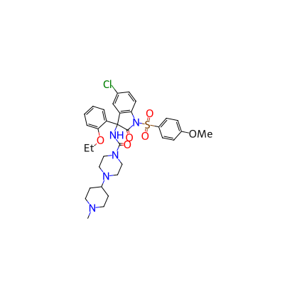 CCOc1ccccc1C1(NC(=O)N2CCN(C3CCN(C)CC3)CC2)C(=O)N(S(=O)(=O)c2ccc(OC)cc2)c2ccc(Cl)cc21